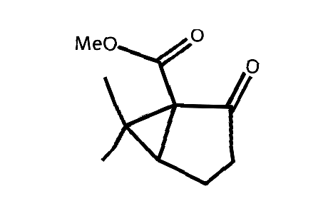 COC(=O)C12C(=O)CCC1C2(C)C